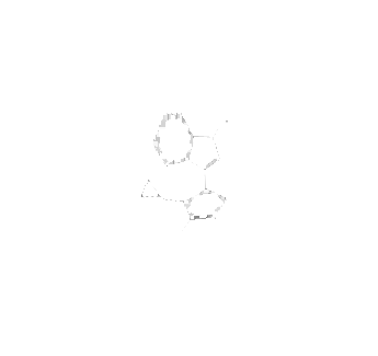 O=C(O)c1[nH]cc(C2=CC(O)c3ccccc32)c1C1CC1